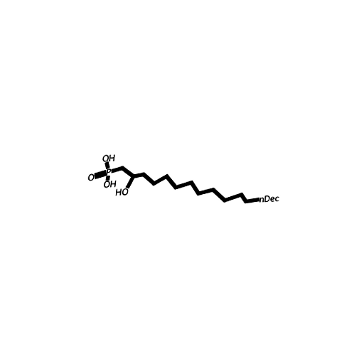 CCCCCCCCCCCCCCCCCCCCC(O)CP(=O)(O)O